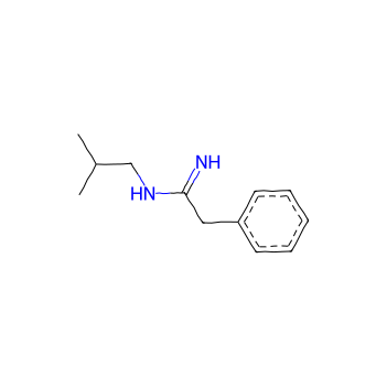 CC(C)CNC(=N)Cc1ccccc1